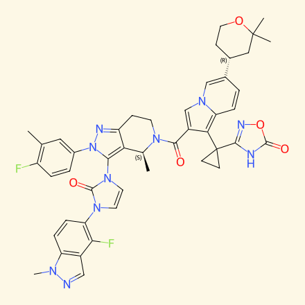 Cc1cc(-n2nc3c(c2-n2ccn(-c4ccc5c(cnn5C)c4F)c2=O)[C@H](C)N(C(=O)c2cn4cc([C@@H]5CCOC(C)(C)C5)ccc4c2C2(c4noc(=O)[nH]4)CC2)CC3)ccc1F